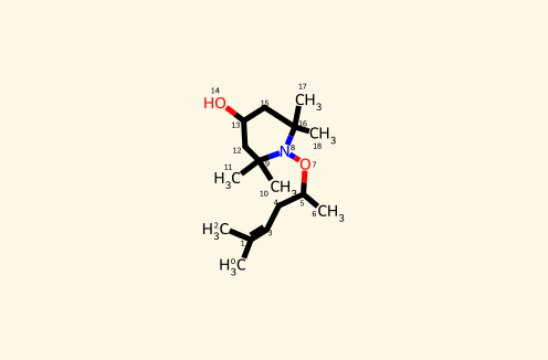 CC(C)=CCC(C)ON1C(C)(C)CC(O)CC1(C)C